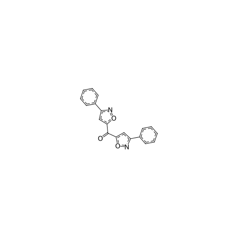 O=C(c1cc(-c2ccccc2)no1)c1cc(-c2ccccc2)no1